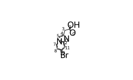 O=C(O)Cc1cn2ccc(Br)cc2n1